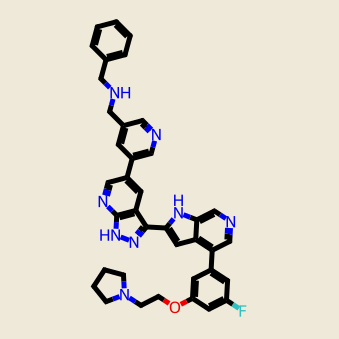 Fc1cc(OCCN2CCCC2)cc(-c2cncc3[nH]c(-c4n[nH]c5ncc(-c6cncc(CNCc7ccccc7)c6)cc45)cc23)c1